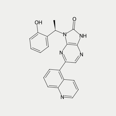 C[C@H](c1ccccc1O)n1c(=O)[nH]c2ncc(-c3cccc4ncccc34)nc21